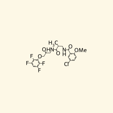 COc1ccc(Cl)cc1C(=O)NCC(C)C(=O)NCC(=O)COc1c(F)c(F)cc(F)c1F